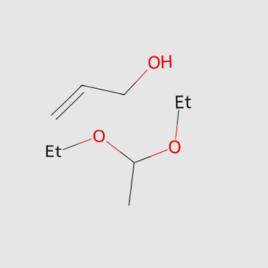 C=CCO.CCOC(C)OCC